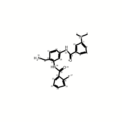 CN(C)c1cccc(C(=O)Nc2ccc(CN)c(NC(=O)c3ccccc3F)c2)c1